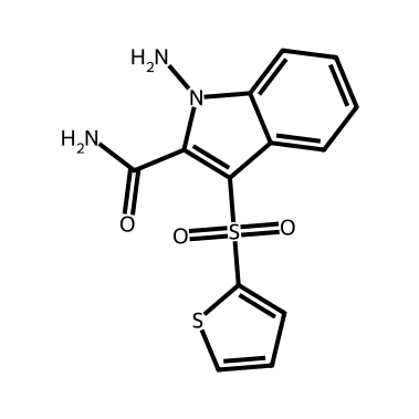 NC(=O)c1c(S(=O)(=O)c2cccs2)c2ccccc2n1N